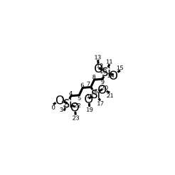 CO[Si](C)(CCCC(CC[Si](C)(OC)OC)[Si](C)(OC)OC)OC